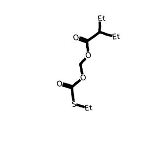 CCSC(=O)OCOC(=O)C(CC)CC